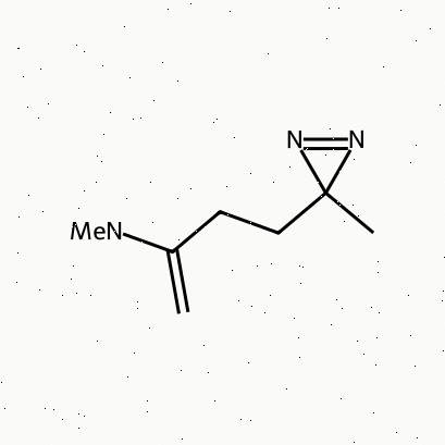 C=C(CCC1(C)N=N1)NC